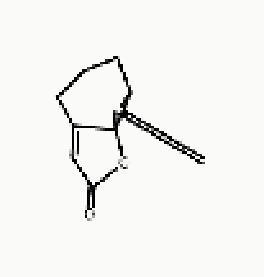 C=C1CC2CCCC3=CC(=O)OC32C1